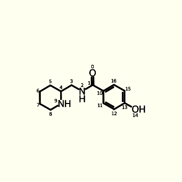 O=C(NCC1CCCCN1)c1ccc(O)cc1